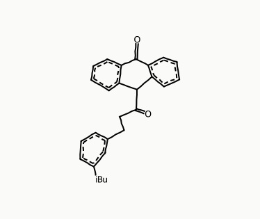 CCC(C)c1cccc(CCC(=O)C2c3ccccc3C(=O)c3ccccc32)c1